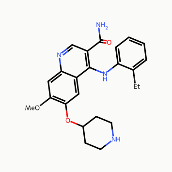 CCc1ccccc1Nc1c(C(N)=O)cnc2cc(OC)c(OC3CCNCC3)cc12